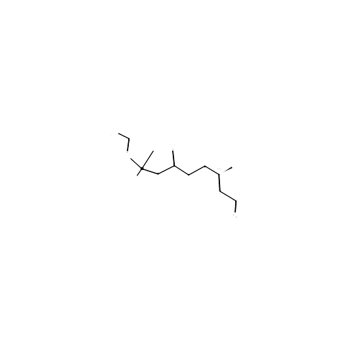 CCOC(C)(C)CC(O)CC[C@@H](C)CCN